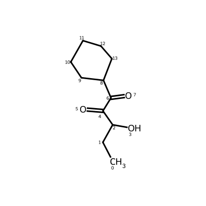 CCC(O)C(=O)C(=O)C1CCCCC1